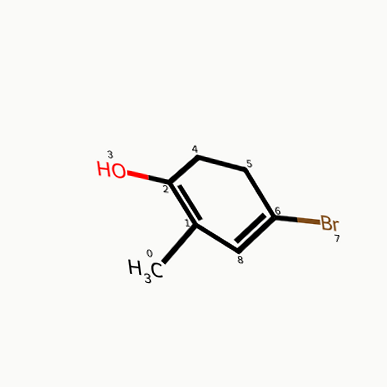 CC1=C(O)CCC(Br)=C1